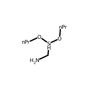 CCCO[SiH](CN)OCCC